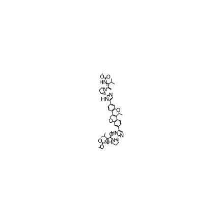 C=C([C@@H](NC(=O)OC)C(C)C)N1CCC[C@H]1c1ncc(-c2ccc3c(c2)OC(C)C2=C3COc3cc(-c4cnc([C@@H]5CCCN5C(=O)[C@@H](NC(=O)OC)C(C)C)[nH]4)ccc32)[nH]1